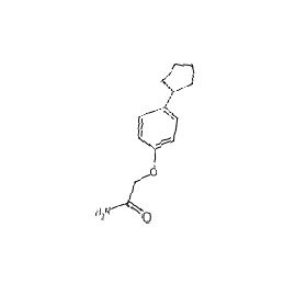 NC(=O)COc1ccc(C2CCCC2)cc1